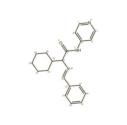 O=C(Nc1ccncc1)C(N=Cc1ccccc1)C1CCCCC1